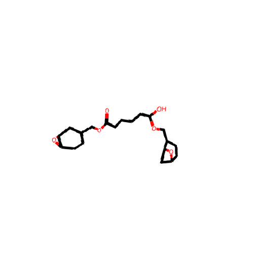 O=C(CCCCC(O)OCC1CCC2CC1O2)OCC1CCC2OC2C1